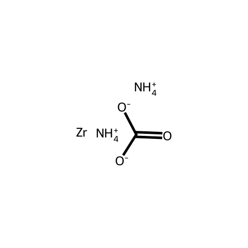 O=C([O-])[O-].[NH4+].[NH4+].[Zr]